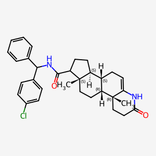 C[C@]12CCC(=O)NC1=CC[C@@H]1[C@H]2CC[C@]2(C)C(C(=O)NC(c3ccccc3)c3ccc(Cl)cc3)CC[C@@H]12